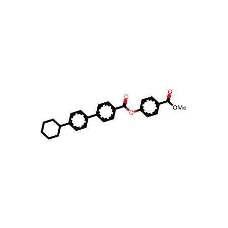 COC(=O)c1ccc(OC(=O)c2ccc(-c3ccc(C4CCCCC4)cc3)cc2)cc1